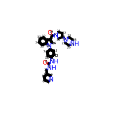 O=C(NCc1cccnc1)Nc1ccc(-n2cc(C(=O)N3CCC(N4CCNCC4)C3)c3ccccc32)cc1